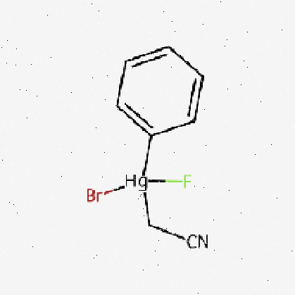 N#C[CH2][Hg]([F])([Br])[c]1ccccc1